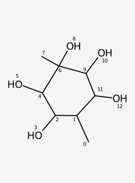 CC1C(O)C(O)C(C)(O)C(O)C1O